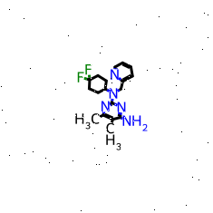 Cc1nc(N(Cc2ccccn2)C2CCC(F)(F)CC2)nc(N)c1C